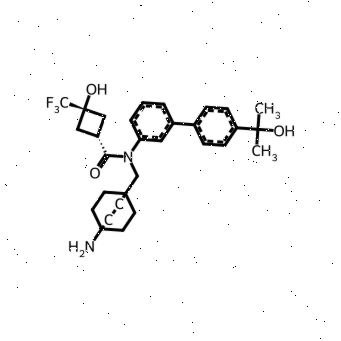 CC(C)(O)c1ccc(-c2cccc(N(CC34CCC(N)(CC3)CC4)C(=O)[C@H]3C[C@](O)(C(F)(F)F)C3)c2)cc1